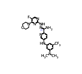 CN(C)c1cc(Nc2ccc(/C(N)=N/Nc3ncc(F)c(N4CCOCC4)n3)nc2)cc(C(F)(F)F)c1